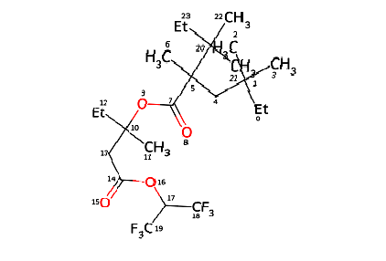 CCC(C)(C)CC(C)(C(=O)OC(C)(CC)CC(=O)OC(C(F)(F)F)C(F)(F)F)C(C)(C)CC